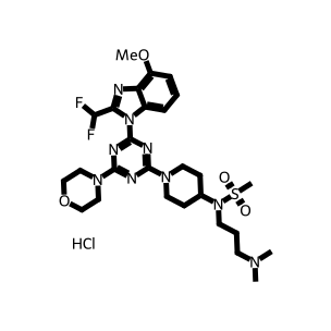 COc1cccc2c1nc(C(F)F)n2-c1nc(N2CCOCC2)nc(N2CCC(N(CCCN(C)C)S(C)(=O)=O)CC2)n1.Cl